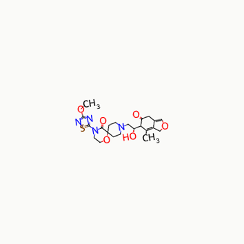 COc1nsc(N2CCOC3(CCN(C[C@H](O)C4C(=O)CC5=COCC5=C4C)CC3)C2=O)n1